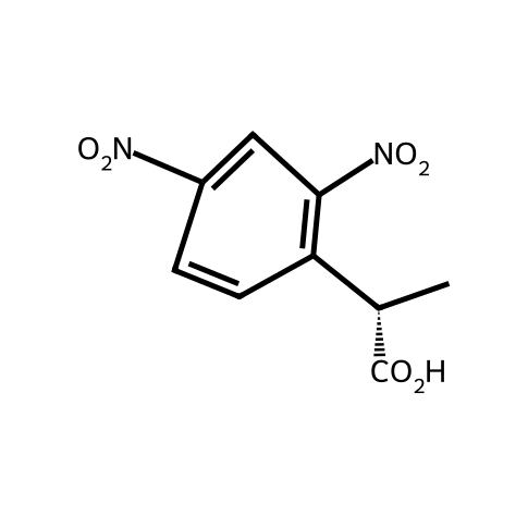 C[C@H](C(=O)O)c1ccc([N+](=O)[O-])cc1[N+](=O)[O-]